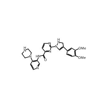 COc1ccc(C2=CN(c3nccc(C(=O)Nc4cnccc4N4CCNCC4)n3)NC2)cc1OC